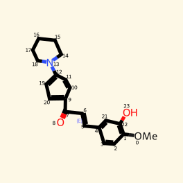 COc1ccc(/C=C/C(=O)c2ccc(N3CCCCC3)cc2)cc1O